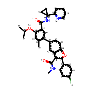 CNC(=O)c1c(-c2ccc(F)cc2)oc2ccc(-c3cc(C(=O)NC4(c5ccccn5)CC4)c(OC(C)C)cc3C)cc12